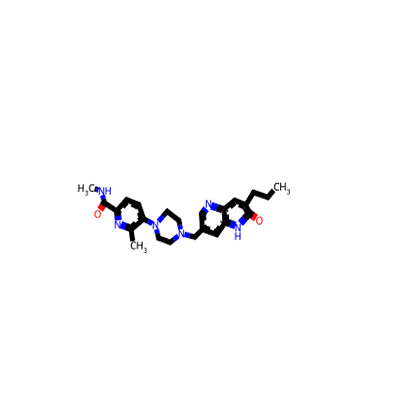 CCCc1cc2ncc(CN3CCN(c4ccc(C(=O)NC)nc4C)CC3)cc2[nH]c1=O